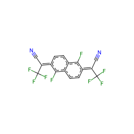 N#C/C(=c1\ccc2c(F)/c(=C(\C#N)C(F)(F)F)ccc2c1F)C(F)(F)F